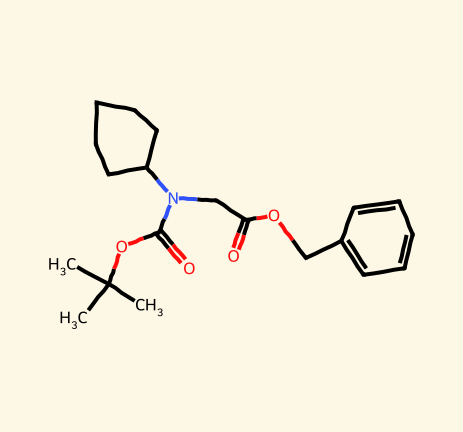 CC(C)(C)OC(=O)N(CC(=O)OCc1ccccc1)C1CCCCC1